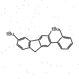 Cc1ccccc1-c1cc2c(cc1C(C)(C)C)-c1cc(C(C)(C)C)ccc1C2